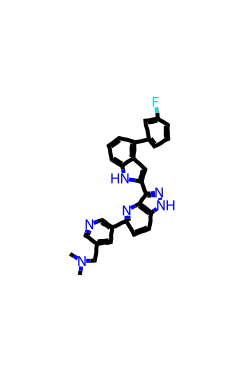 CN(C)Cc1cncc(-c2ccc3[nH]nc(-c4cc5c(-c6cccc(F)c6)cccc5[nH]4)c3n2)c1